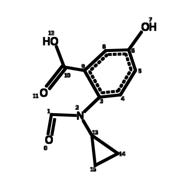 O=CN(c1ccc(O)cc1C(=O)O)C1CC1